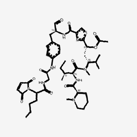 CCCCC(C(=O)NCC(=O)Nc1ccc(C[C@@H](C=O)NC(=O)c2csc([C@@H](C[C@H](C(C)C)N(C)C(=O)[C@@H](NC(=O)[C@H]3CCCCN3C)[C@@H](C)CC)OC(C)=O)n2)cc1)N1C(=O)C=CC1=O